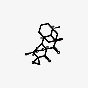 C=C1C(=O)[C@@]23CC[C@@H](CC2[C@@]24CCC[C@@](C)(COC2)C14)C1(CO1)C3=O